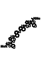 CN[C@@H](C)C(=O)NC(C(=O)N1CCC[C@H]1C(=O)N[C@@H]1CCCc2c(Oc3cccc4c3CCC[C@H]4NC(=O)[C@@H]3CCCN3C(=O)[C@@H](NC(=O)[C@H](C)NC)C3CCOCC3)cccc21)C1CCOCC1